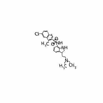 CCN(CC)CCC1CNc2c(NS(=O)(=O)c3sc4ccc(Cl)cc4c3C)cccc21